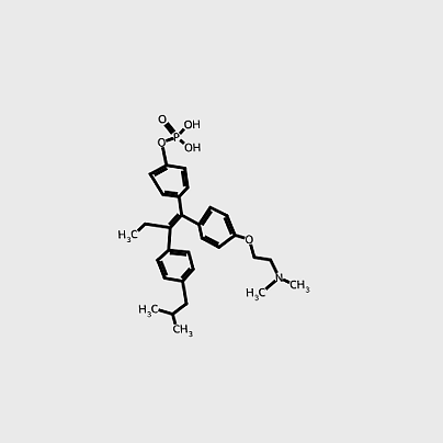 CCC(=C(c1ccc(OCCN(C)C)cc1)c1ccc(OP(=O)(O)O)cc1)c1ccc(CC(C)C)cc1